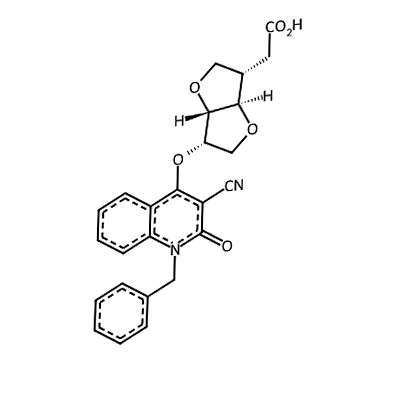 N#Cc1c(O[C@H]2CO[C@@H]3[C@@H](CC(=O)O)CO[C@H]32)c2ccccc2n(Cc2ccccc2)c1=O